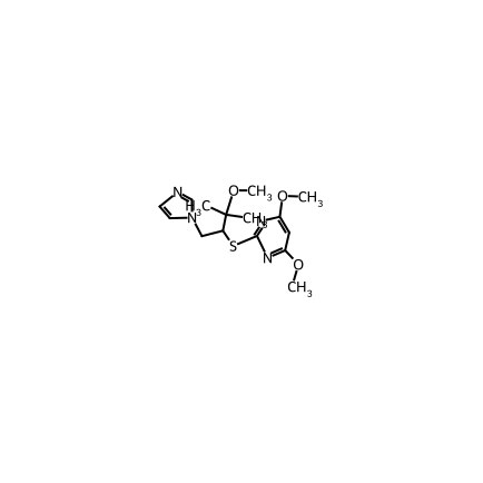 COc1cc(OC)nc(SC(Cn2ccnc2)C(C)(C)OC)n1